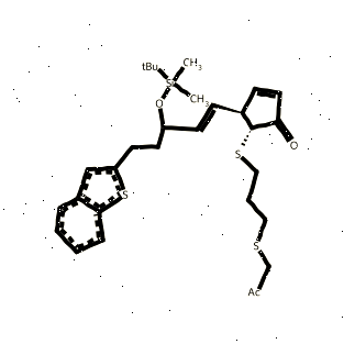 CC(=O)CSCCCS[C@H]1C(=O)C=C[C@@H]1/C=C/C(CCc1cc2ccccc2s1)O[Si](C)(C)C(C)(C)C